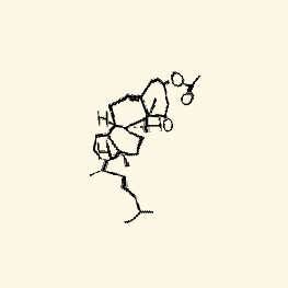 CC(=O)O[C@H]1CC(=O)[C@@]2(C)C(=CC[C@@H]3[C@@H]2CC[C@]2(C)[C@@H]([C@H](C)CCCC(C)C)CC[C@@H]32)C1